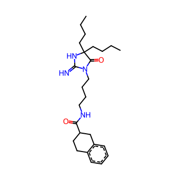 CCCCC1(CCCC)NC(=N)N(CCCCNC(=O)C2CCc3ccccc3C2)C1=O